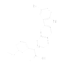 C=C(O)C(c1cccc(OC)c1)N1CCC2Cc3[nH]c4ccc(Br)cc4c3CC2C1